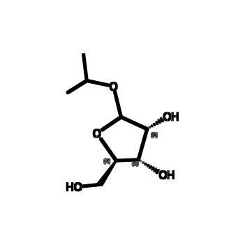 CC(C)OC1O[C@H](CO)[C@@H](O)[C@H]1O